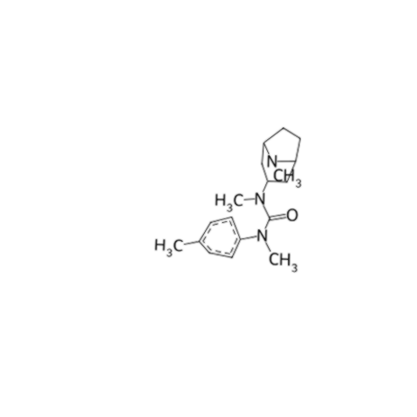 Cc1ccc(N(C)C(=O)N(C)C2CC3CCC(C2)N3C)cc1